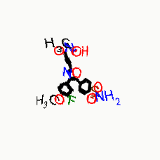 COc1ccc(-c2nc(C#CC(=O)N(C)O)oc2-c2ccc(S(N)(=O)=O)cc2)cc1F